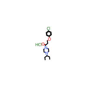 CCC(CC)N1CCN(C(=O)CCOc2ccc(Cl)cc2)CC1.Cl